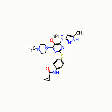 CCCOc1c(Nc2cc(C)[nH]n2)nc(Sc2ccc(NC(=O)C3CC3)cc2)nc1N1CCN(C)CC1